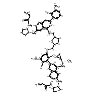 C=CC(=O)N[C@H]1COC[C@H]1Nc1cc2c(NCC3CCC(COc4cc(OC)c(Cl)c(-c5cc6cnc(N[C@@H]7COC[C@@H]7NC(=O)C=C)cc6c(N[C@@H](C)C6CC6)n5)c4Cl)O3)nc(-c3cccc(OC)c3F)cc2cn1